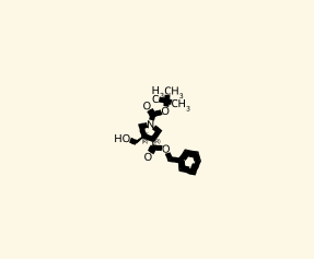 CC(C)(C)OC(=O)N1C[C@H](CO)[C@@H](C(=O)OCc2ccccc2)C1